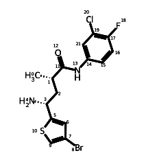 C[C@@H](C[C@@H](N)c1cc(Br)cs1)C(=O)Nc1ccc(F)c(Cl)c1